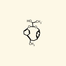 [CH2]C(O)[C]1OC2=CC/C(=C(/C)Cc3ccc(cc3)O1)C=C2